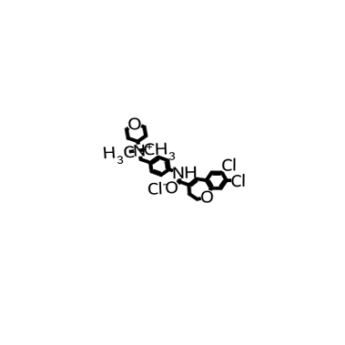 C[N+](C)(Cc1ccc(NC(=O)C2=Cc3cc(Cl)c(Cl)cc3OCC2)cc1)C1CCOCC1.[Cl-]